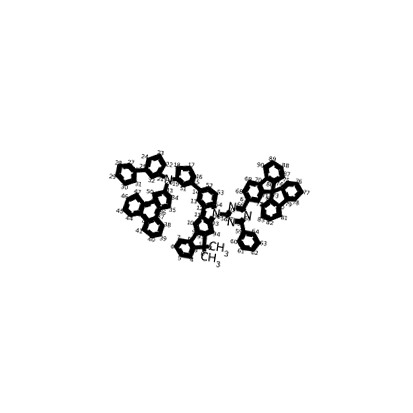 CC1(C)c2ccccc2-c2cc3c4cc(-c5cccc(N(c6cccc(-c7ccccc7)c6)c6ccc7c8ccccc8c8ccccc8c7c6)c5)ccc4n(-c4nc(-c5ccccc5)nc(-c5ccc6c(c5)C5(c7ccccc7-c7ccccc75)c5ccccc5-6)n4)c3cc21